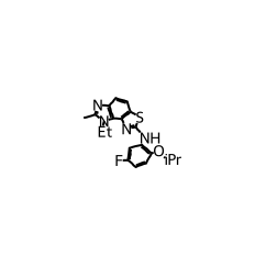 CCn1c(C)nc2ccc3sc(Nc4cc(F)ccc4OC(C)C)nc3c21